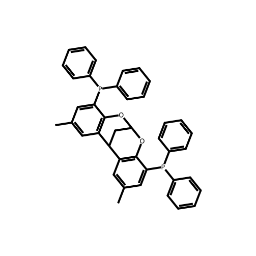 Cc1cc2c(c(P(c3ccccc3)c3ccccc3)c1)OC1CC2c2cc(C)cc(P(c3ccccc3)c3ccccc3)c2O1